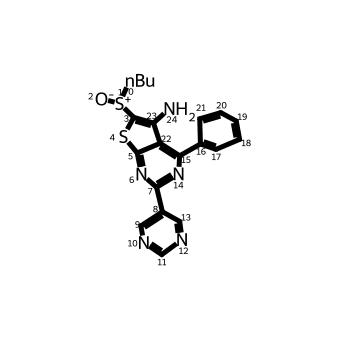 CCCC[S+]([O-])c1sc2nc(-c3cncnc3)nc(-c3ccccc3)c2c1N